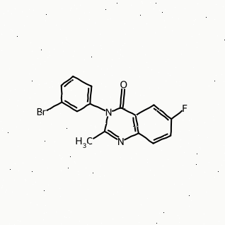 Cc1nc2ccc(F)cc2c(=O)n1-c1cccc(Br)c1